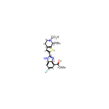 COC(=O)c1cc(F)cc2[nH]c(-c3cc4c(s3)C(C(C)(C)C)N(C(=O)O)CC4)nc12